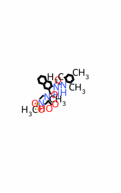 Cc1cc(C)c(NC(=O)Nc2cc3ccccc3cc2C(=O)N2CCN(S(C)(=O)=O)C[C@@]2(C)C(=O)O)c(C)c1